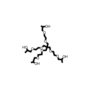 CC(O)COCCOCC(COCCOCC(C)O)(COCCOCC(C)O)COCCOCC(C)O